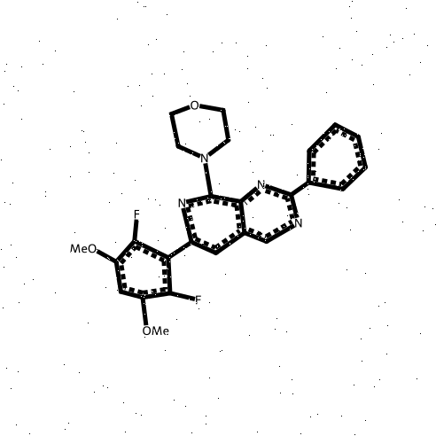 COc1cc(OC)c(F)c(-c2cc3cnc(-c4ccccc4)nc3c(N3CCOCC3)n2)c1F